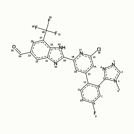 Cn1cnnc1-c1cc(F)ccc1-c1cc(Cl)nc(-c2nc3cc(C=O)cc(C(F)(F)F)c3[nH]2)c1